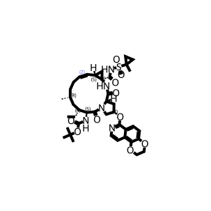 CC[C@@H]1C[C@H](C)CC/C=C\[C@@H]2C[C@@]2(C(=O)NS(=O)(=O)C2(C)CC2)NC(=O)[C@@H]2C[C@@H](Oc3nccc4c5c(ccc34)OCCO5)CN2C(=O)[C@H]1NC(=O)OC(C)(C)C